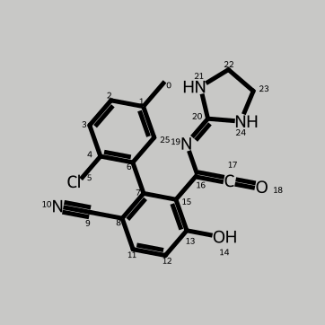 Cc1ccc(Cl)c(-c2c(C#N)ccc(O)c2C(=C=O)N=C2NCCN2)c1